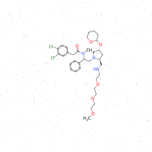 COCCOCCOCCNC[C@@H]1C[C@@H](OC2CCCCO2)CN1CC(c1ccccc1)N(C)C(=O)Cc1ccc(Cl)c(Cl)c1